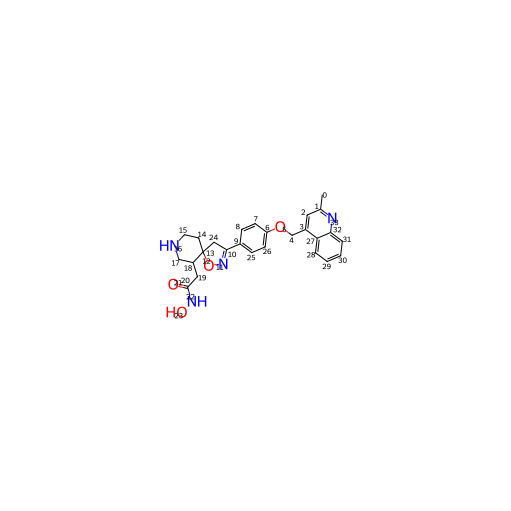 Cc1cc(COc2ccc(C3=NOC4(CCNCC4CC(=O)NO)C3)cc2)c2ccccc2n1